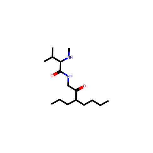 CCCCC(CCC)C(=O)CNC(=O)C(NC)C(C)C